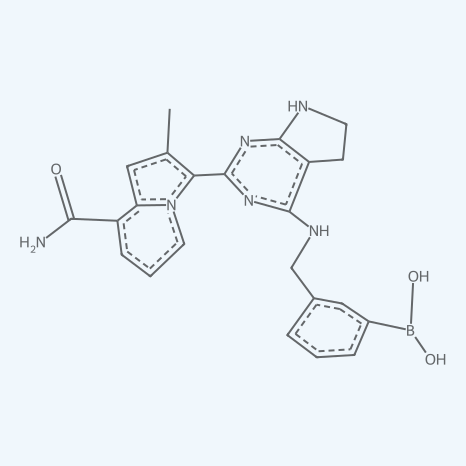 Cc1cc2c(C(N)=O)cccn2c1-c1nc2c(c(NCc3cccc(B(O)O)c3)n1)CCN2